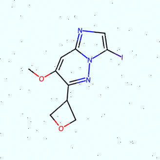 COc1cc2ncc(I)n2nc1C1COC1